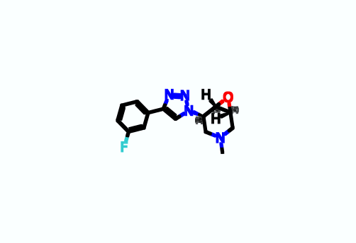 CN1C[C@@H](n2cc(-c3cccc(F)c3)nn2)[C@@H]2O[C@@H]2C1